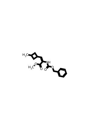 COC(=O)/C(=C\C1CC(C)C1)NC(=O)OCc1ccccc1